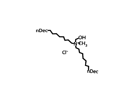 CCCCCCCCCCCCCCCCCC[N+](C)(CO)CCCCCCCCCCCCCCCCCC.[Cl-]